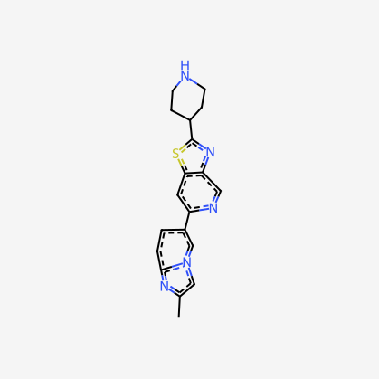 Cc1cn2cc(-c3cc4sc(C5CCNCC5)nc4cn3)ccc2n1